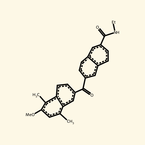 CCNC(=O)c1ccc2cc(C(=O)c3ccc4c(C)c(OC)cc(C)c4c3)ccc2c1